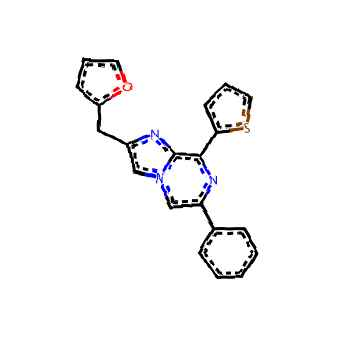 c1ccc(-c2cn3cc(Cc4ccco4)nc3c(-c3cccs3)n2)cc1